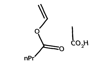 C=COC(=O)CCC.CC(=O)O